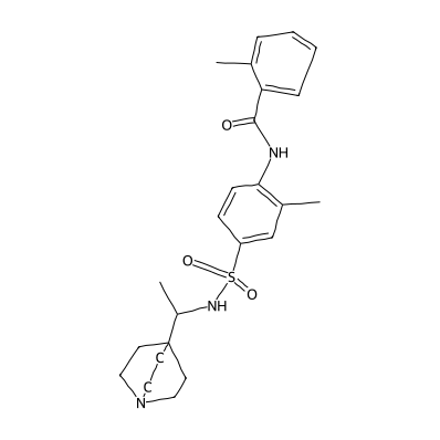 Cc1cc(S(=O)(=O)NC(C)C23CCN(CC2)CC3)ccc1NC(=O)c1ccccc1C